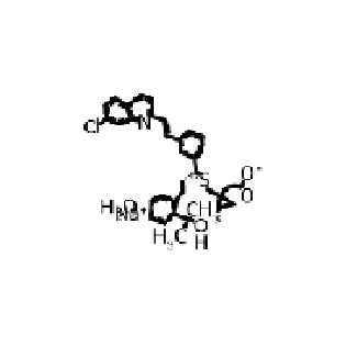 CC(C)(O)c1ccccc1CC[C@@H](SCC1(CC(=O)[O-])CC1)c1cccc(C=Cc2ccc3ccc(Cl)cc3n2)c1.O.[Na+]